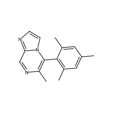 Cc1cc(C)c(-c2c(C)ncc3nccn23)c(C)c1